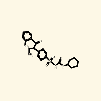 NCC(C(=O)c1ccccc1N)c1ccc(S(=O)(=O)NC(=O)NC2CCCCC2)cc1